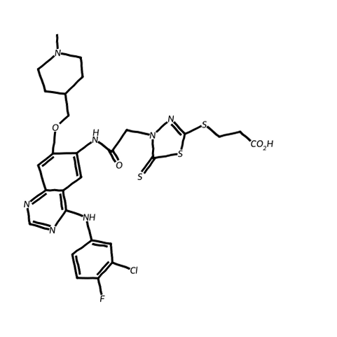 CN1CCC(COc2cc3ncnc(Nc4ccc(F)c(Cl)c4)c3cc2NC(=O)Cn2nc(SCCC(=O)O)sc2=S)CC1